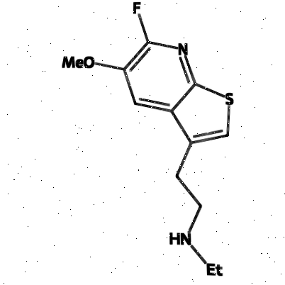 CCNCCc1csc2nc(F)c(OC)cc12